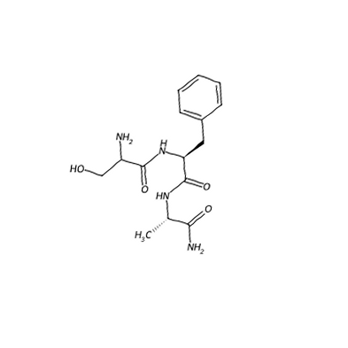 C[C@H](NC(=O)[C@H](Cc1ccccc1)NC(=O)C(N)CO)C(N)=O